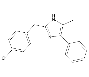 Cc1[nH]c(Cc2ccc(Cl)cc2)nc1-c1ccccc1